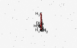 CCCCCCCCCCCCCCCCCC(=O)OC[C@@H](COC(=O)CCC[N+](C)(C)C)NC(C)=O.[Cl-]